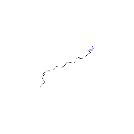 CC/C=C\CCCCC/C=C/C#N